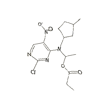 CCC(=O)OC(C)N(c1nc(Cl)ncc1[N+](=O)[O-])C1CCC(C)C1